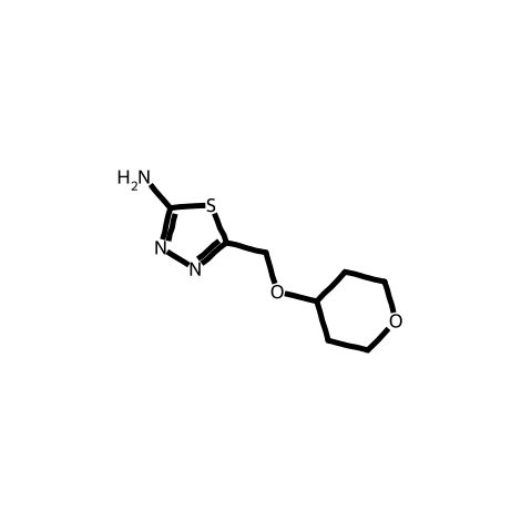 Nc1nnc(COC2CCOCC2)s1